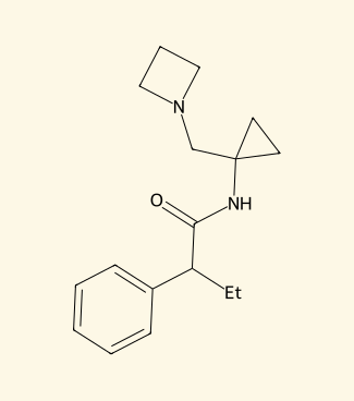 CCC(C(=O)NC1(CN2CCC2)CC1)c1ccccc1